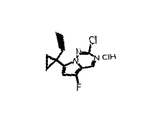 C#CC1(c2cc(F)c3cnc(Cl)nn23)CC1.Cl